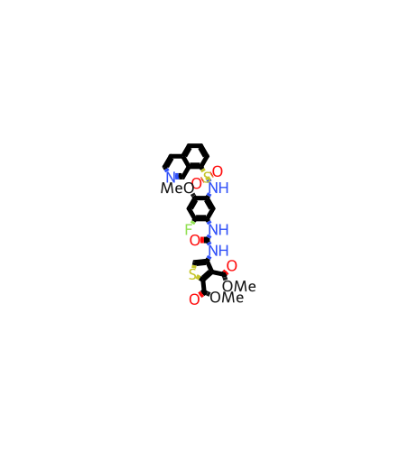 COC(=O)c1scc(NC(=O)Nc2cc(NS(=O)(=O)c3cccc4ccncc34)c(OC)cc2F)c1C(=O)OC